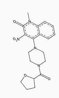 Cn1c(=O)c([N+](=O)[O-])c(N2CCN(C(=O)C3CCCO3)CC2)c2ccccc21